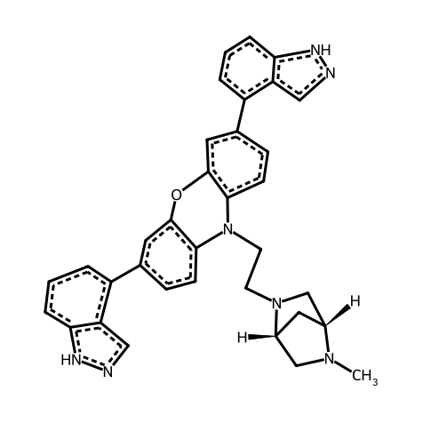 CN1C[C@H]2C[C@@H]1CN2CCN1c2ccc(-c3cccc4[nH]ncc34)cc2Oc2cc(-c3cccc4[nH]ncc34)ccc21